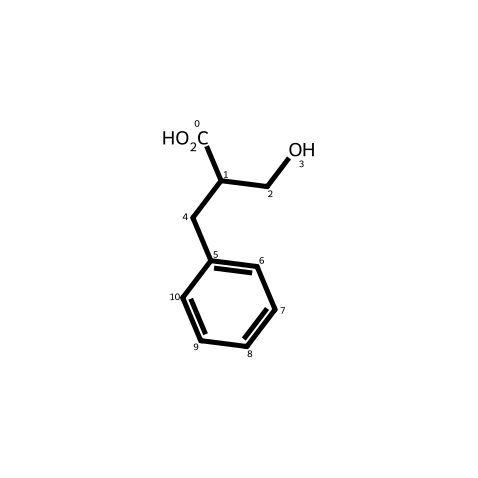 O=C(O)C(CO)Cc1ccccc1